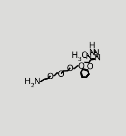 CN1NN=NC=C1C(COCCOCCOCCOCCCN)Oc1ccccc1